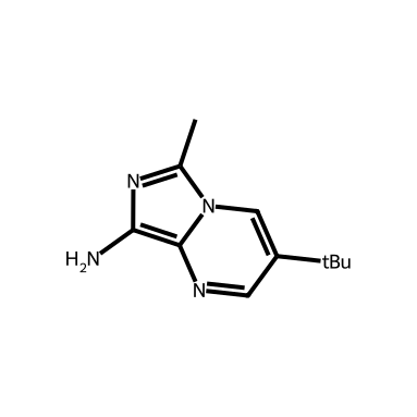 Cc1nc(N)c2ncc(C(C)(C)C)cn12